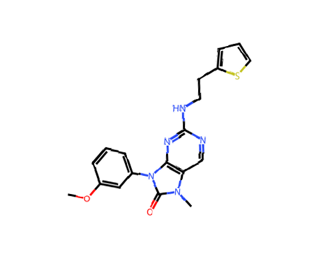 COc1cccc(-n2c(=O)n(C)c3cnc(NCCc4cccs4)nc32)c1